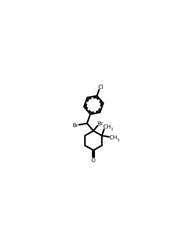 CC1(C)CC(=O)CCC1(Br)C(Br)c1ccc(Cl)cc1